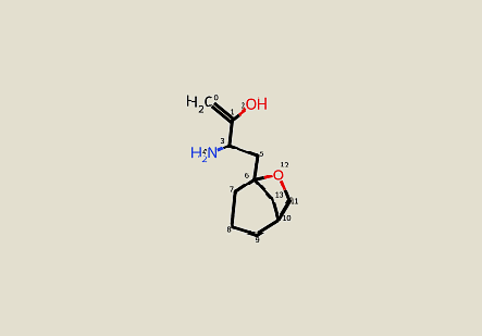 C=C(O)C(N)CC12CCCC(CO1)C2